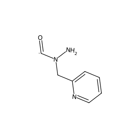 NN([C]=O)Cc1ccccn1